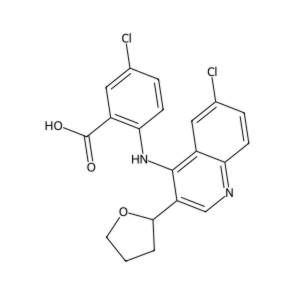 O=C(O)c1cc(Cl)ccc1Nc1c(C2CCCO2)cnc2ccc(Cl)cc12